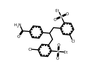 CCS(=O)(=O)c1ccc(Cl)cc1CC(Cc1cc(Cl)ccc1S(=O)(=O)CC)c1ccc(C(N)=O)cc1